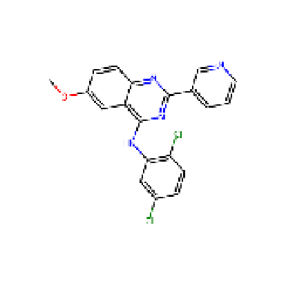 COc1ccc2nc(-c3cccnc3)nc(Nc3cc(Cl)ccc3Cl)c2c1